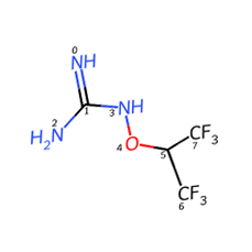 N=C(N)NOC(C(F)(F)F)C(F)(F)F